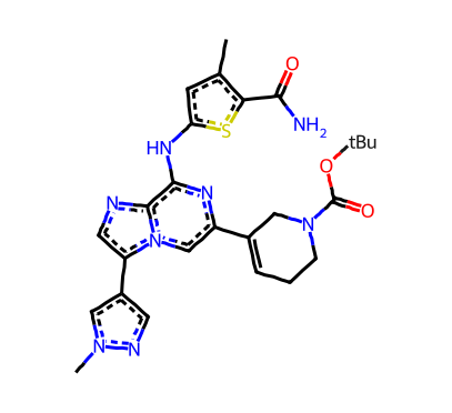 Cc1cc(Nc2nc(C3=CCCN(C(=O)OC(C)(C)C)C3)cn3c(-c4cnn(C)c4)cnc23)sc1C(N)=O